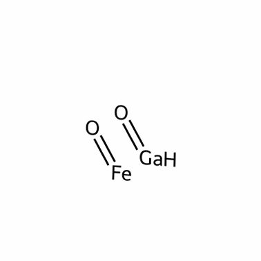 [O]=[Fe].[O]=[GaH]